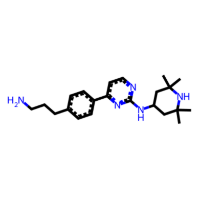 CC1(C)CC(Nc2nccc(-c3ccc(CCCN)cc3)n2)CC(C)(C)N1